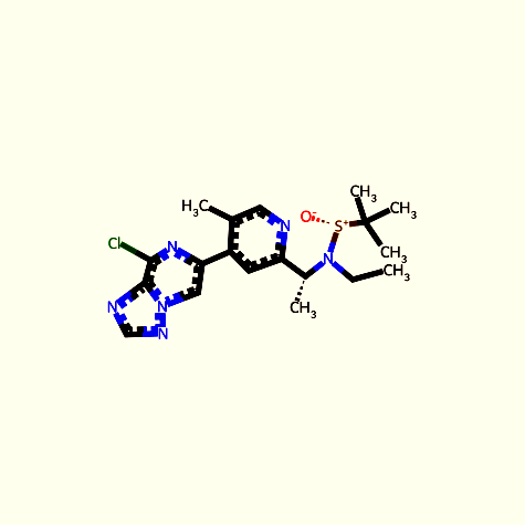 CCN([C@H](C)c1cc(-c2cn3ncnc3c(Cl)n2)c(C)cn1)[S@+]([O-])C(C)(C)C